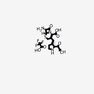 C#CC(=O)C1NCC/C1=C\C1=C(C(=O)O)N2C(=O)[C@@H](N)[C@H]2SC1.O=C(O)C(F)(F)F